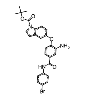 CC(C)(C)OC(=O)n1ccc2cc(Oc3ccc(C(=O)Nc4ccc(Br)cc4)cc3N)ccc21